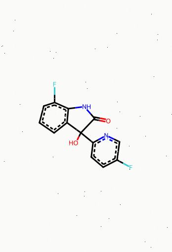 O=C1Nc2c(F)cccc2C1(O)c1ccc(F)cn1